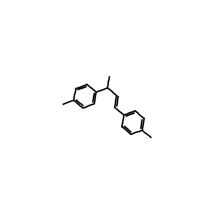 Cc1ccc(C=CC(C)c2ccc(C)cc2)cc1